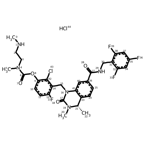 CNCCN(C)C(=O)Oc1ccc(F)c(CN2C(=O)N(C)[C@@H](C)c3ccc(C(=O)NCc4c(F)cc(F)cc4F)cc32)c1Cl.Cl